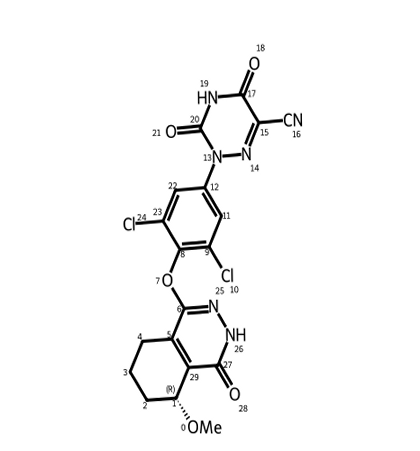 CO[C@@H]1CCCc2c(Oc3c(Cl)cc(-n4nc(C#N)c(=O)[nH]c4=O)cc3Cl)n[nH]c(=O)c21